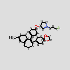 Cc1ccc2c(c1)CCCC(C1=CCC3(CC1)OCCO3)=C2c1ccc(O[C@H]2CCN(CCCF)C2)cc1